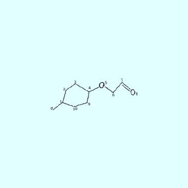 CC1CCC(OCC=O)CC1